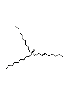 CCCCCC=CCOP(=O)(OCC=CCCCCC)OCC=CCCCCC